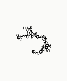 Cc1csc2c(OC(=O)N(C)CC(C)(C)CN(C)C(=O)OCc3ccc(NC(=O)[C@H](CCCNC(N)=O)NC(=O)CNC(=O)CCCCCN4C(=O)C=CC4=O)cc3)cc3c(c12)[C@@H](CCl)CN3C(=O)c1cc2cc(OCCN3CCCC3)ccc2[nH]1